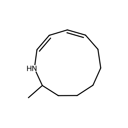 CC1CCCCC/C=C\C=C/N1